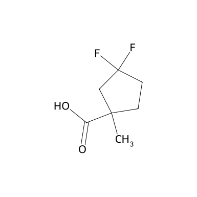 CC1(C(=O)O)CCC(F)(F)C1